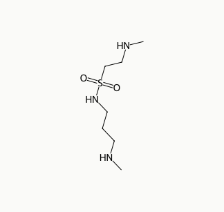 CNCCCNS(=O)(=O)CCNC